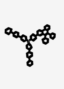 c1ccc(-c2ccc(-c3ccc(N(c4ccc(-c5ccc(-c6ccccc6)cc5)cc4)c4ccc(-c5ccc6c(c5)c(-c5ccccc5)c(-c5ccccc5)c5ccccc56)cc4)cc3)cc2)cc1